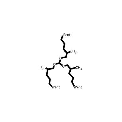 CCCC(C)CCCC(C)COC(OCC(C)CCCC(C)CCC)OCC(C)CCCC(C)CCC